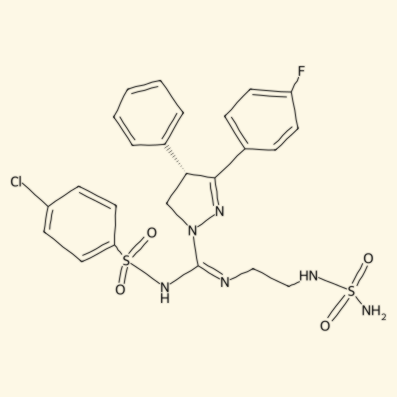 NS(=O)(=O)NCC/N=C(/NS(=O)(=O)c1ccc(Cl)cc1)N1C[C@H](c2ccccc2)C(c2ccc(F)cc2)=N1